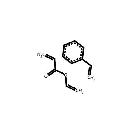 C=COC(=O)C=C.C=Cc1ccccc1